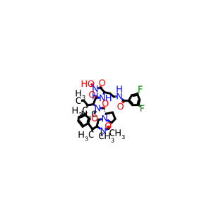 CCC(C)C(C(=O)NC(CCNC(=O)c1cc(F)cc(F)c1)C(=O)NO)N(C)C(=O)[C@@H]1CCCN1C(=O)C(C(C)c1ccccc1)N(C)C(C)=O